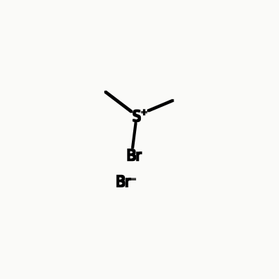 C[S+](C)Br.[Br-]